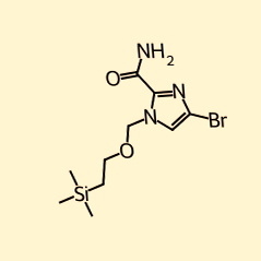 C[Si](C)(C)CCOCn1cc(Br)nc1C(N)=O